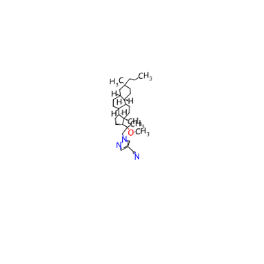 CCC[C@@]1(C)CC[C@H]2[C@H](CC[C@@H]3[C@@H]2CC[C@@]2(C)[C@H]3CC[C@@H]2[C@@](C)(Cn2cc(C#N)cn2)OC)C1